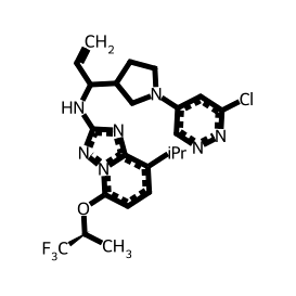 C=CC(Nc1nc2c(C(C)C)ccc(O[C@@H](C)C(F)(F)F)n2n1)C1CCN(c2cnnc(Cl)c2)C1